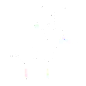 C=Nc1cc(F)c(C(=O)OC)cc1/C(Cl)=C(\C)C(=C)C